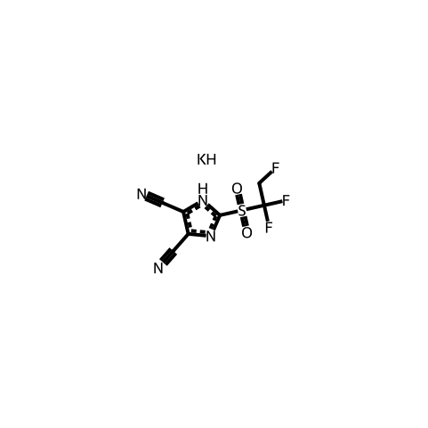 N#Cc1nc(S(=O)(=O)C(F)(F)CF)[nH]c1C#N.[KH]